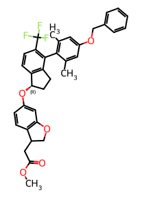 COC(=O)CC1COc2cc(O[C@@H]3CCc4c3ccc(C(F)(F)F)c4-c3c(C)cc(OCc4ccccc4)cc3C)ccc21